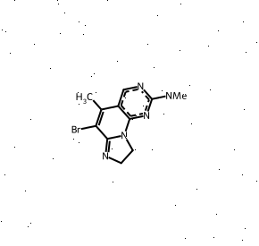 CNc1ncc2c(n1)N1CCN=C1C(Br)=C2C